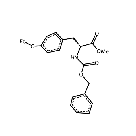 CCOc1ccc(C[C@H](NC(=O)OCc2ccccc2)C(=O)OC)cc1